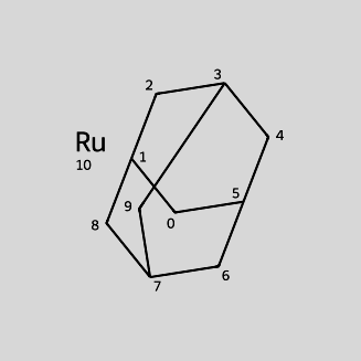 C1C2CC3CC1CC(C2)C3.[Ru]